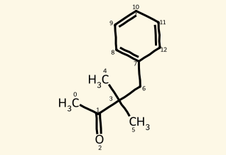 CC(=O)C(C)(C)Cc1cc[c]cc1